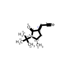 C[C@H]1C/C(=C\C#N)C(=O)N1C(C)(C)C